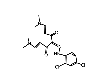 CN(C)C=CC(=O)C(=NNc1ccc(Cl)cc1Cl)C(=O)C=CN(C)C